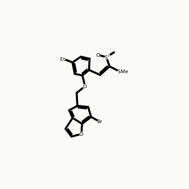 CCc1ccc(C=C(SC)[S+](C)[O-])c(OCc2cc(Br)c3occc3c2)c1